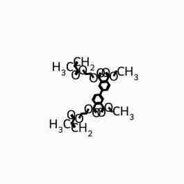 C=C(C)C(=O)OCCOC(=O)c1ccc(-c2ccc(C(=O)OCC)c(C(=O)OCCOC(=O)C(=C)C)c2)cc1C(=O)OCC